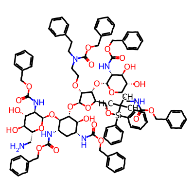 CC(C)(C)[Si](OC[C@H]1O[C@@H](O[C@@H]2[C@@H](O)[C@H](NC(=O)OCc3ccccc3)C[C@H](NC(=O)OCc3ccccc3)[C@H]2O[C@H]2O[C@H](CN)[C@@H](O)[C@H](O)[C@H]2NC(=O)OCc2ccccc2)[C@H](OCCN(CCc2ccccc2)C(=O)OCc2ccccc2)[C@@H]1O[C@H]1O[C@@H](CNC(=O)OCc2ccccc2)[C@@H](O)[C@H](O)[C@H]1NC(=O)OCc1ccccc1)(c1ccccc1)c1ccccc1